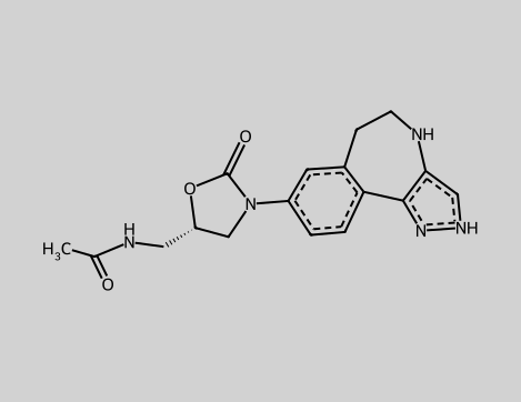 CC(=O)NC[C@H]1CN(c2ccc3c(c2)CCNc2c[nH]nc2-3)C(=O)O1